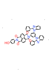 O=C1c2ccc3c4c(ccc(c24)C(=O)N1c1ccc(O)cc1)C(=O)N(c1cc(-n2c(-c4ccccc4)nc4ccccc42)cc(-n2c(-c4ccccc4)nc4ccccc42)c1)C3=O